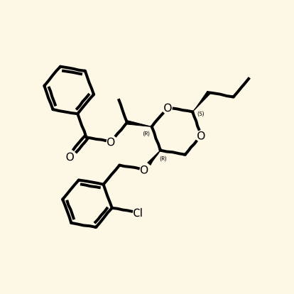 CCC[C@H]1OC[C@@H](OCc2ccccc2Cl)[C@@H](C(C)OC(=O)c2ccccc2)O1